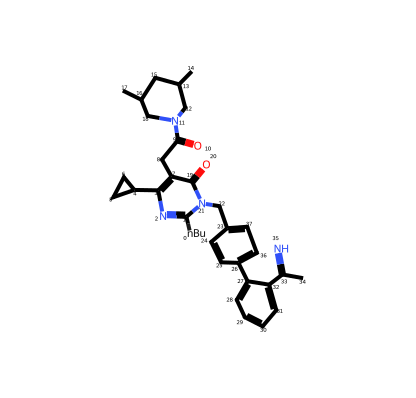 CCCCc1nc(C2CC2)c(CC(=O)N2CC(C)CC(C)C2)c(=O)n1Cc1ccc(-c2ccccc2C(C)=N)cc1